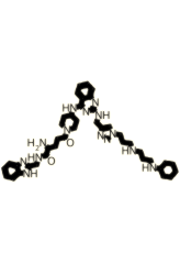 NC(CCC(=O)N1CCC(Nc2nc(NCc3cn(CCCNCCCNC4CCCCC4)nn3)nc3ccccc23)CC1)C(=O)NCc1nc2ccccc2[nH]1